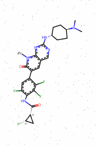 CC(C)n1c(=O)c(-c2cc(F)c(NC(=O)[C@@H]3C[C@@H]3F)c(F)c2F)cc2cnc(N[C@H]3CC[C@H](N(C)C)CC3)nc21